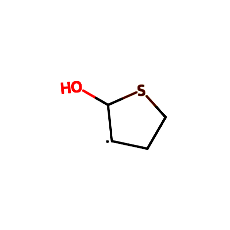 OC1[CH]CCS1